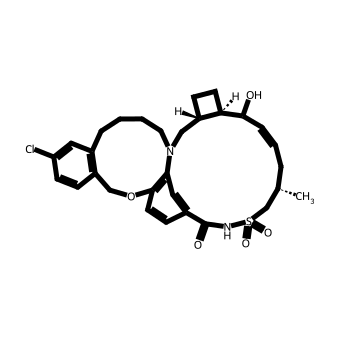 C[C@H]1C/C=C\C(O)[C@@H]2CC[C@H]2CN2CCCCc3cc(Cl)ccc3COc3ccc(cc32)C(=O)NS(=O)(=O)C1